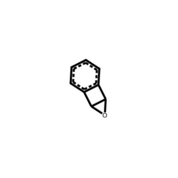 c1ccc2c(c1)C1OC21